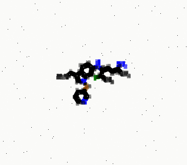 CNCc1cn(Sc2cccnc2)c2cc(N/C(=C/C=C(/C)N)C(C)F)ccc12